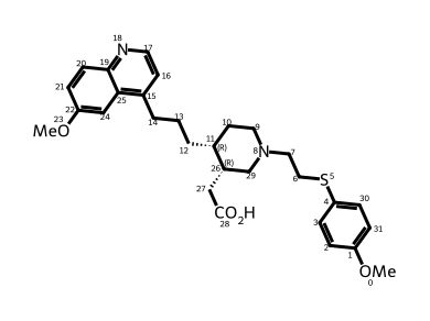 COc1ccc(SCCN2CC[C@@H](CCCc3ccnc4ccc(OC)cc34)[C@@H](CC(=O)O)C2)cc1